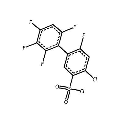 O=S(=O)(Cl)c1cc(-c2c(F)cc(F)c(F)c2F)c(F)cc1Cl